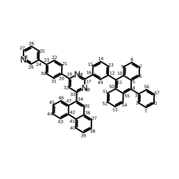 c1ccc(-c2c3ccccc3c(-c3cccc(-c4nc(-c5ccc(-c6cccnc6)cc5)cc(-c5cc6ccccc6c6ccccc56)n4)c3)c3ccccc23)cc1